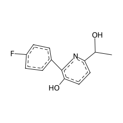 CC(O)c1ccc(O)c(-c2ccc(F)cc2)n1